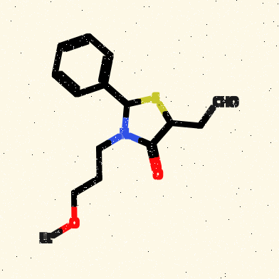 CCOCCCN1C(=O)C(CC=O)SC1c1ccccc1